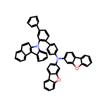 c1ccc(-c2ccc(-c3ccc(N(c4ccc5c(c4)oc4ccccc45)c4ccc5c(c4)oc4ccccc45)cc3)c(-n3c4ccccc4c4c5ccccc5ccc43)c2)cc1